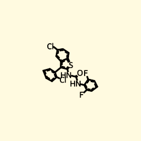 O=C(Nc1sc2ccc(Cl)cc2c1-c1ccccc1Cl)Nc1c(F)cccc1F